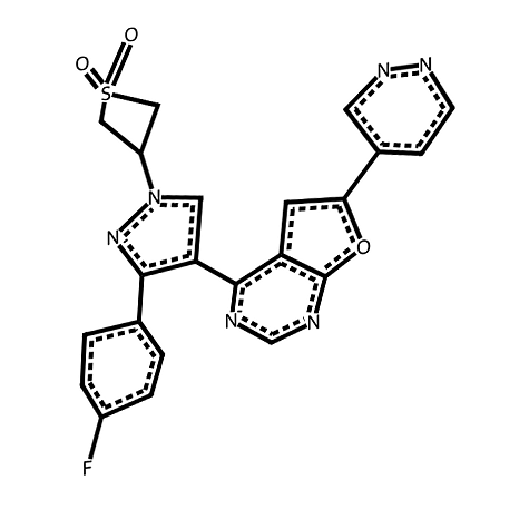 O=S1(=O)CC(n2cc(-c3ncnc4oc(-c5ccnnc5)cc34)c(-c3ccc(F)cc3)n2)C1